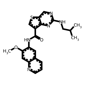 COc1cc2ncccc2cc1NC(=O)c1csc2cnc(NCC(C)C)nc12